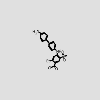 CCc1cc(Nc2ccc(-c3ccc(N)cc3)cc2)c(S(C)(=O)=O)cc1C(=O)Cl